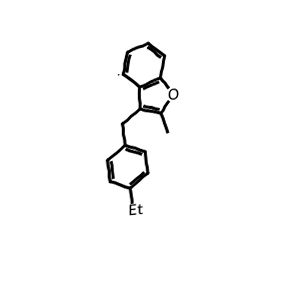 CCc1ccc(Cc2c(C)oc3ccc[c]c23)cc1